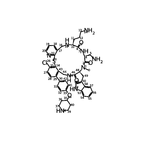 CN1C(=O)[C@H](CN)NC(=O)[C@H](CCCN)NCc2cccnc2Sc2c(Cl)ccc(-c3ccc(OC4CCNCC4)cc3)c2CNC(=O)[C@@H]1Cc1c[nH]c2ccccc12